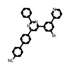 N#Cc1ccc(-c2ccc(-c3cc(-c4cc(Br)cc(-c5cccnc5)c4)nc(-c4ccccc4)n3)cc2)cc1